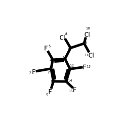 Fc1c(F)c(F)c(C(Cl)C(Cl)Cl)c(F)c1F